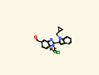 Cl.Cn1c(-c2cc3ccccc3n2CC2CC2)nc2cc(C=O)ccc21